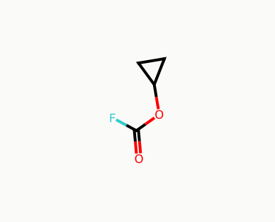 O=C(F)OC1CC1